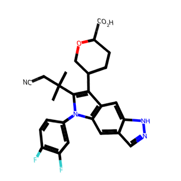 CC(C)(CC#N)c1c(C2CCC(C(=O)O)OC2)c2cc3[nH]ncc3cc2n1-c1ccc(F)c(F)c1